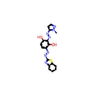 Cn1nccc1/N=N/c1c(O)ccc(/N=N/c2nc3ccccc3s2)c1O